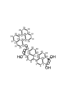 O=C(O)c1ccc2c3ccc(C(=O)O)c4c(C(=O)Oc5ccc6cccc7c8cccc9cccc(c5c67)c98)ccc(c5ccc(C(=O)O)c1c25)c43